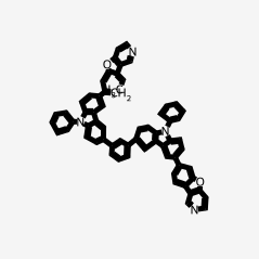 C=C(/C=c1/oc2ccncc2/c1=C/C)c1ccc2c(c1)c1cc(-c3cccc(-c4ccc5c(c4)c4cc(-c6ccc7c(c6)oc6ccncc67)ccc4n5-c4ccccc4)c3)ccc1n2-c1ccccc1